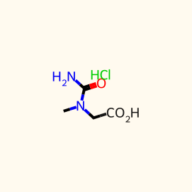 CN(CC(=O)O)C(N)=O.Cl